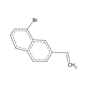 C=Cc1ccc2cccc(Br)c2c1